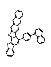 c1ccc2cc3cc4c(cc3cc2c1)nc1c2sc3ccccc3c2cc(-c2ccc(-c3cccc5ccccc35)cc2)n41